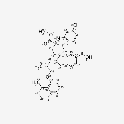 COC(=O)C1(Nc2cccc(Cl)c2)CCC2(CC1)c1cc(CO)ccc1C[C@@H]2C[C@@H](C)COc1ccnc2c1[C@H](C)CCC2